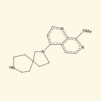 COc1nccc2c(N3CCC4(CCNCC4)C3)ccnc12